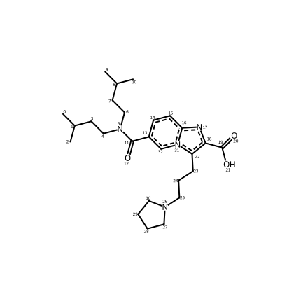 CC(C)CCN(CCC(C)C)C(=O)c1ccc2nc(C(=O)O)c(CCCN3CCCC3)n2c1